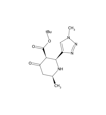 C[C@H]1CC(=O)[C@@H](C(=O)OC(C)(C)C)[C@@H](c2cn(C)nn2)N1